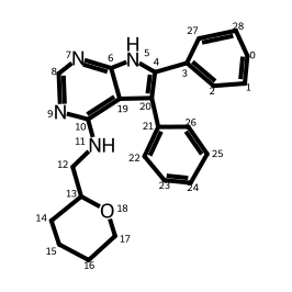 c1ccc(-c2[nH]c3ncnc(NCC4CCCCO4)c3c2-c2ccccc2)cc1